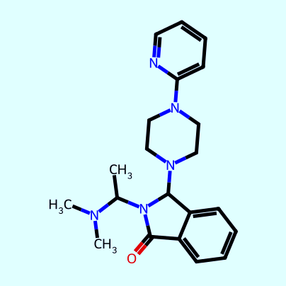 CC(N(C)C)N1C(=O)c2ccccc2C1N1CCN(c2ccccn2)CC1